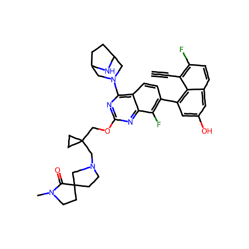 C#Cc1c(F)ccc2cc(O)cc(-c3ccc4c(N5CC6CCC(C5)N6)nc(OCC5(CN6CCC7(CCN(C)C7=O)C6)CC5)nc4c3F)c12